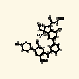 CCN1CCN(c2cc(OC)c(Nc3nccc(-c4cc(C#N)c5c(c4)C(C)(CO)CN5C(=O)OC(C)(C)C)n3)cc2Cl)CC1